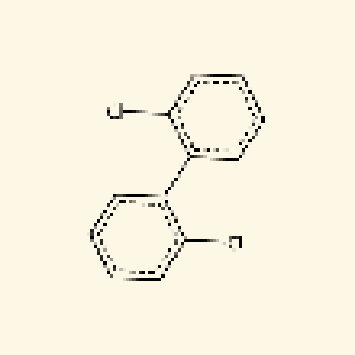 Clc1[c]cccc1-c1ccc[c]c1Cl